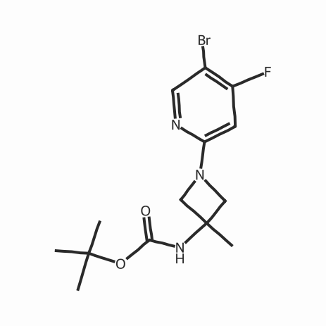 CC1(NC(=O)OC(C)(C)C)CN(c2cc(F)c(Br)cn2)C1